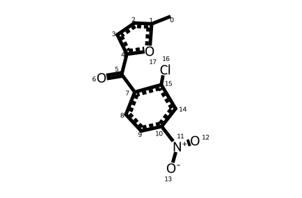 Cc1ccc(C(=O)c2ccc([N+](=O)[O-])cc2Cl)o1